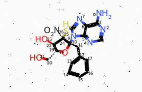 Nc1ncnc2c1ncn2[C@]1(Cc2ccccc2)O[C@H](CO)[C@@H](O)[C@]1(S)[N+](=O)[O-]